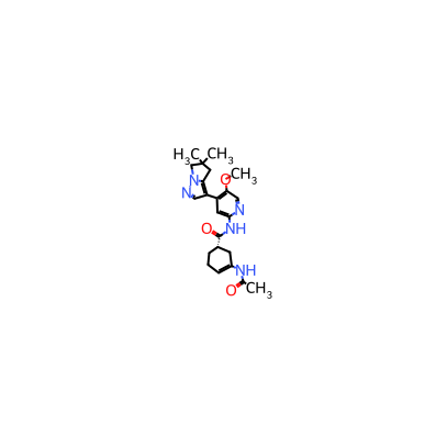 COc1cnc(NC(=O)[C@H]2CCC=C(NC(C)=O)C2)cc1-c1cnn2c1CC(C)(C)C2